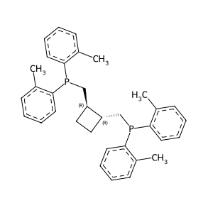 Cc1ccccc1P(C[C@@H]1CC[C@H]1CP(c1ccccc1C)c1ccccc1C)c1ccccc1C